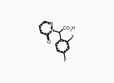 O=C(O)C(c1ccc(F)cc1F)n1ncccc1=O